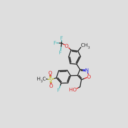 Cc1cc(-c2noc(CO)c2-c2ccc(S(C)(=O)=O)c(F)c2)ccc1OC(F)(F)F